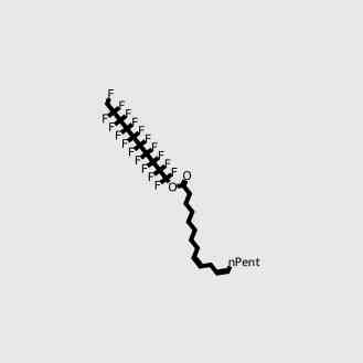 CCCCC/C=C\C/C=C\CCCCCCCC(=O)OC(F)(F)C(F)(F)C(F)(F)C(F)(F)C(F)(F)C(F)(F)C(F)(F)C(F)(F)C(F)(F)CF